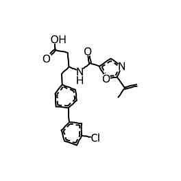 C=C(C)c1ncc(C(=O)NC(CC(=O)O)Cc2ccc(-c3cccc(Cl)c3)cc2)o1